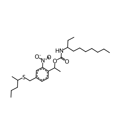 CCCCCCCC(CC)NC(=O)OC(C)c1ccc(CSC(C)CCC)cc1[N+](=O)[O-]